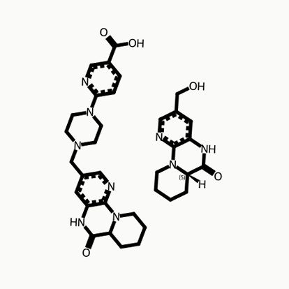 O=C(O)c1ccc(N2CCN(Cc3cnc4c(c3)NC(=O)C3CCCCN43)CC2)nc1.O=C1Nc2cc(CO)cnc2N2CCCC[C@@H]12